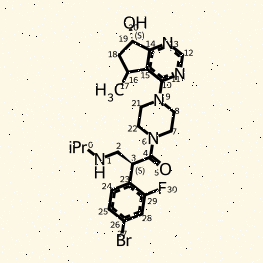 CC(C)NC[C@@H](C(=O)N1CCN(c2ncnc3c2C(C)C[C@@H]3O)CC1)c1ccc(Br)cc1F